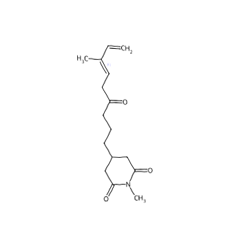 C=C/C(C)=C/CC(=O)CCCC1CC(=O)N(C)C(=O)C1